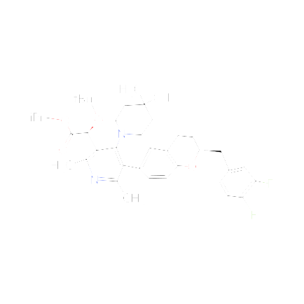 Cc1nc(C)c([C@H](OC(C)(C)C)C(=O)OC(C)C)c(N2CCC(C)(C)CC2)c1-c1ccc2c(c1)CC[C@@H](Cc1ccc(F)c(F)c1)O2